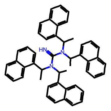 CC(c1cccc2ccccc12)N(C(=N)N(C(C)c1cccc2ccccc12)C(C)c1cccc2ccccc12)C(C)c1cccc2ccccc12